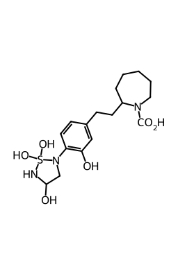 O=C(O)N1CCCCCC1CCc1ccc(N2CC(O)NS2(O)O)c(O)c1